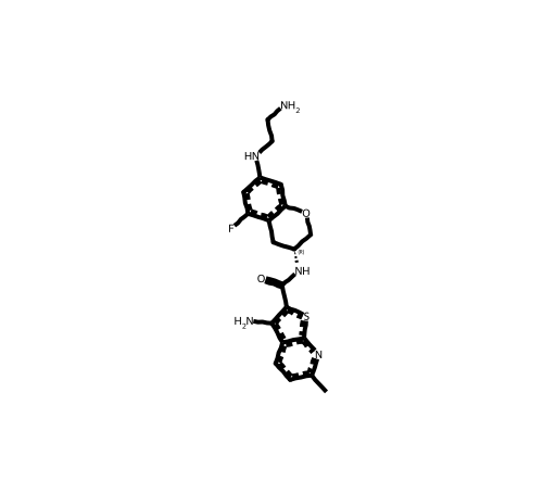 Cc1ccc2c(N)c(C(=O)N[C@H]3COc4cc(NCCN)cc(F)c4C3)sc2n1